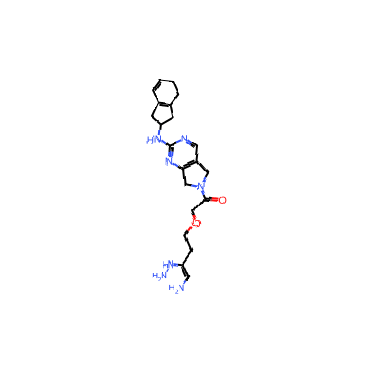 N/C=C(/CCOCC(=O)N1Cc2cnc(NC3CC4=C(CCC=C4)C3)nc2C1)NN